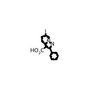 O=C(O)c1c(-c2ccccc2)nn2cc(I)ccc12